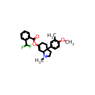 COc1ccc(C23CCC(OC(=O)c4ccccc4C(F)F)=CC2N(C)CC3)cc1C